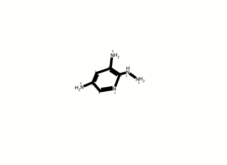 NNc1ncc(N)cc1N